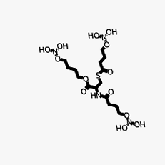 O=C(CCCON(O)O)NC(CSC(=O)CCCON(O)O)C(=O)OCCCCON(O)O